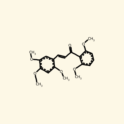 COc1cc(OC)c(OC)cc1/C=C/C(=O)c1c(OC)cccc1OC